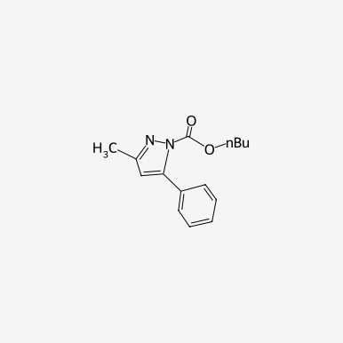 CCCCOC(=O)n1nc(C)cc1-c1ccccc1